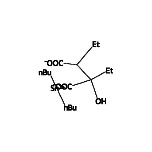 CCC(C(=O)[O-])C(O)(CC)C(=O)[O-].CCC[CH2][Sn+2][CH2]CCC